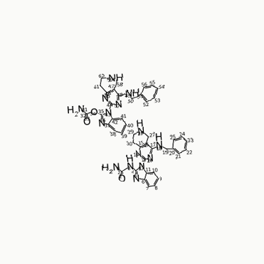 NC(=O)Nc1nc2ccccc2n1-c1nc2c(c(NCc3ccccc3)n1)CNCC2.NC(=O)Oc1nc2ccccc2n1-c1nc2c(c(NCc3ccccc3)n1)CNCC2